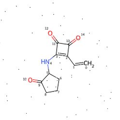 C=Cc1c(NC2CCCC2=O)c(=O)c1=O